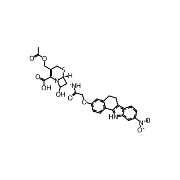 CC(=O)OCC1=C(C(=O)O)N2C(O)[C@@H](NC(=O)COc3ccc4c(c3)CCc3c-4[nH]c4cc([N+](=O)[O-])ccc34)[C@H]2SC1